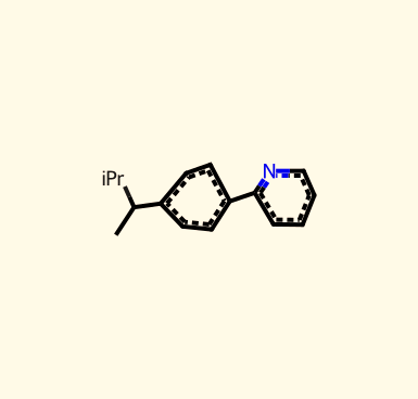 CC(C)C(C)c1ccc(-c2ccccn2)cc1